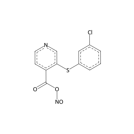 O=NOC(=O)c1ccncc1Sc1cccc(Cl)c1